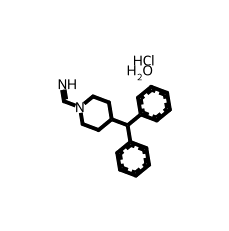 Cl.N=CN1CCC(C(c2ccccc2)c2ccccc2)CC1.O